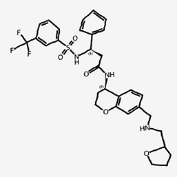 O=C(C[C@@H](NS(=O)(=O)c1cccc(C(F)(F)F)c1)c1ccccc1)N[C@@H]1CCOc2cc(CNCC3CCCO3)ccc21